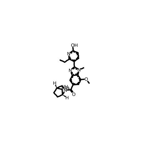 CCc1nc(O)ccc1-c1nc2cc(C(=O)N3C[C@H]4CC[C@@H]3[C@@H]4N)cc(OC)c2n1C